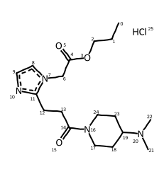 CCCOC(=O)Cn1ccnc1CCC(=O)N1CCC(N(C)C)CC1.Cl